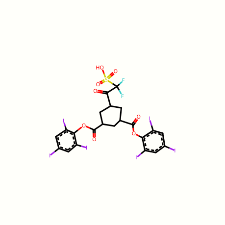 O=C(Oc1c(I)cc(I)cc1I)C1CC(C(=O)Oc2c(I)cc(I)cc2I)CC(C(=O)C(F)(F)S(=O)(=O)O)C1